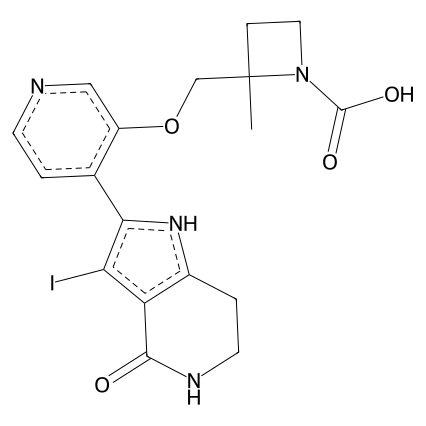 CC1(COc2cnccc2-c2[nH]c3c(c2I)C(=O)NCC3)CCN1C(=O)O